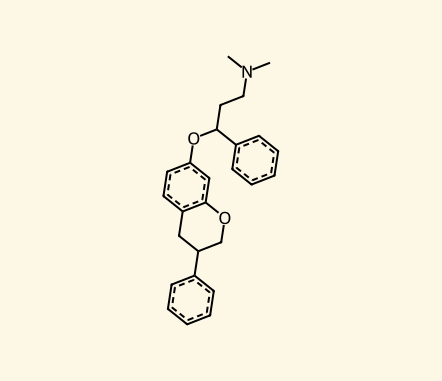 CN(C)CCC(Oc1ccc2c(c1)OCC(c1ccccc1)C2)c1ccccc1